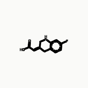 O=C(O)C=C1CNc2cc(F)ccc2C1